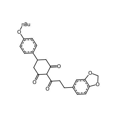 CCCCOc1ccc(C2CC(=O)C(C(=O)CCc3ccc4c(c3)OCO4)C(=O)C2)cc1